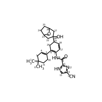 CC1(C)CC=C(C2=C(NC(=O)c3nc(C#N)c[nH]3)C=CC(C3(O)CC4CCC(C3)O4)C2)CC1